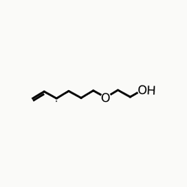 C=C[CH]CCCOCCO